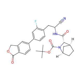 CC(C)(C)OC(=O)N1[C@@H]2CC[C@@H](C2)[C@H]1C(=O)NC(C#N)Cc1ccc(-c2ccc3c(c2)COC3=O)cc1F